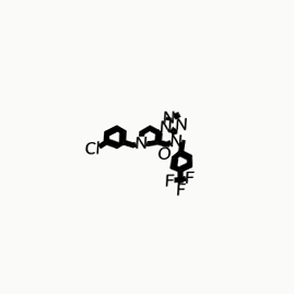 O=c1c2c(n3ncnc3n1Cc1ccc(C(F)(F)F)cc1)CCN(Cc1cccc(Cl)c1)C2